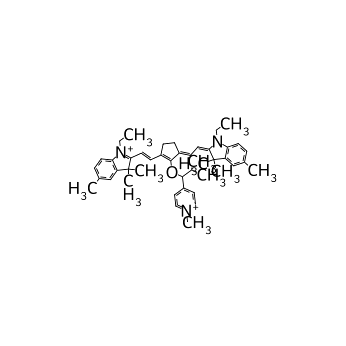 CCN1/C(=C/C=C2\CCC(/C=C/C3=[N+](CC)c4ccc(C)cc4C3(C)C)=C2OC(c2cc[n+](C)cc2)C(C)C)C(C)(C)c2cc(C)ccc21